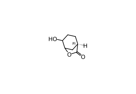 O=C1OC2C[C@H]1CCC2O